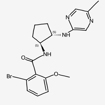 COc1cccc(Br)c1C(=O)N[C@H]1CCC[C@@H]1Nc1cnc(C)cn1